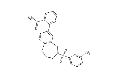 NC(=O)c1ccccc1-c1ccc2c(c1)CN(S(=O)(=O)c1cccc(C(F)(F)F)c1)CCC2